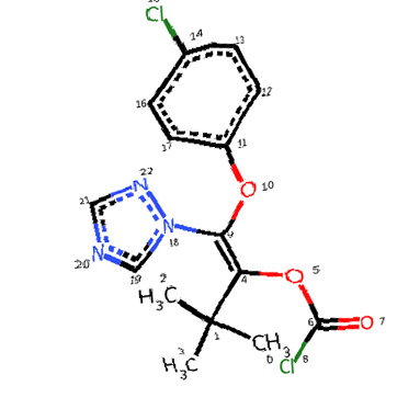 CC(C)(C)C(OC(=O)Cl)=C(Oc1ccc(Cl)cc1)n1cncn1